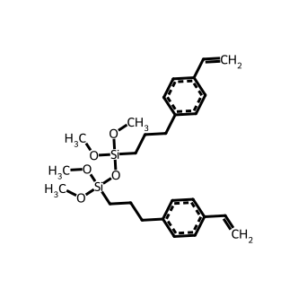 C=Cc1ccc(CCC[Si](OC)(OC)O[Si](CCCc2ccc(C=C)cc2)(OC)OC)cc1